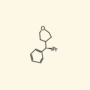 CC(C)[C@@H](c1ccccc1)C1CCOCC1